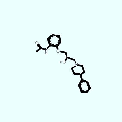 CC(=O)Nc1ccccc1OCC(O)CN1CC=C(c2ccccc2)CC1